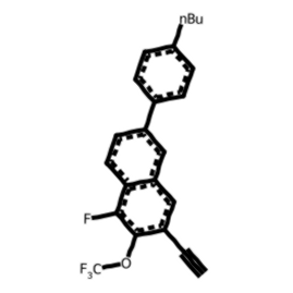 C#Cc1cc2cc(-c3ccc(CCCC)cc3)ccc2c(F)c1OC(F)(F)F